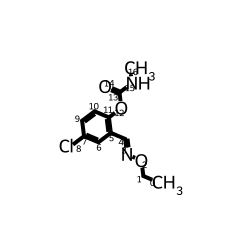 CCON=Cc1cc(Cl)ccc1OC(=O)NC